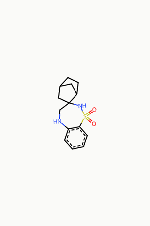 O=S1(=O)NC2(CNc3ccccc31)CC1CCC2C1